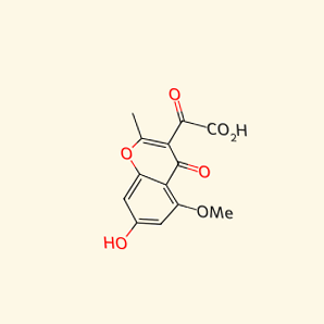 COc1cc(O)cc2oc(C)c(C(=O)C(=O)O)c(=O)c12